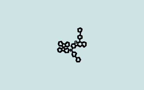 c1ccc(-c2ccc(-c3c4ccccc4cc4c3oc3ccc(N(c5ccc(-c6ccccc6)cc5)c5ccc6c(c5)C5(c7ccccc7-c7ccccc75)c5ccccc5-6)cc34)cc2)cc1